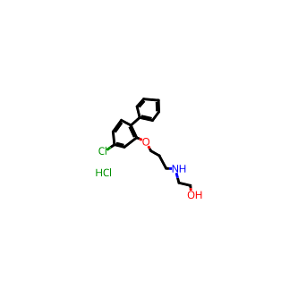 Cl.OCCNCCCOc1cc(Cl)ccc1-c1ccccc1